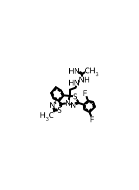 CC(=N)NNCCC1(c2ccccc2)SC(c2cc(F)ccc2F)=NN1c1nnc(C)s1